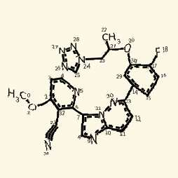 COc1ccnc(-c2cnc3ccc(-c4ccc(F)c(OC(C)Cn5cnnn5)c4)nn23)c1C#N